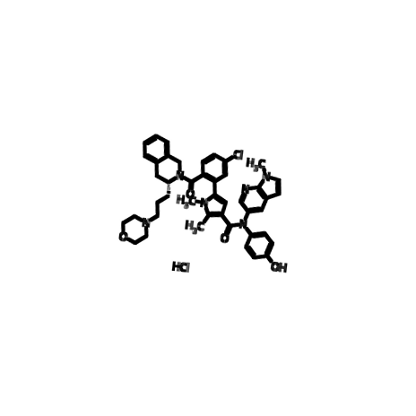 Cc1c(C(=O)N(c2ccc(O)cc2)c2cnc3c(ccn3C)c2)cc(-c2cc(Cl)ccc2C(=O)N2Cc3ccccc3C[C@H]2CCCN2CCOCC2)n1C.Cl